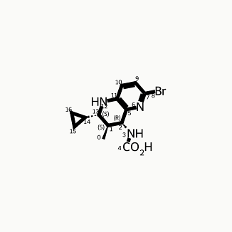 C[C@@H]1[C@@H](NC(=O)O)c2nc(Br)ccc2N[C@H]1C1CC1